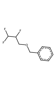 FC(F)C(F)COCc1ccccc1